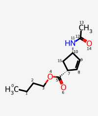 CCCCOC(=O)[C@H]1C=C[C@@H](NC(C)=O)C1